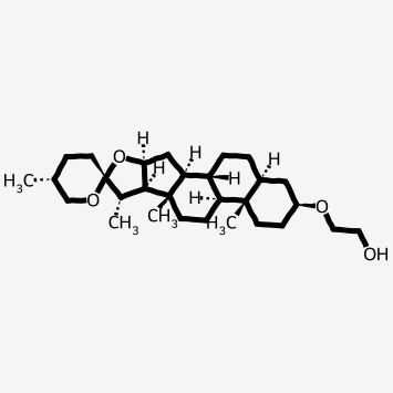 C[C@@H]1CC[C@@]2(OC1)O[C@H]1C[C@H]3[C@@H]4CC[C@H]5C[C@@H](OCCO)CC[C@]5(C)[C@H]4CC[C@]3(C)[C@H]1[C@@H]2C